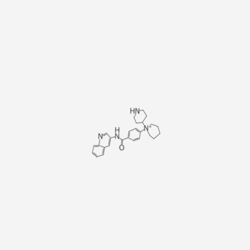 O=C(Nc1cnc2ccccc2c1)c1ccc([N+]2(C3CCNCC3)CCCCC2)cc1